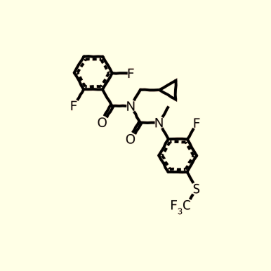 CN(C(=O)N(CC1CC1)C(=O)c1c(F)cccc1F)c1ccc(SC(F)(F)F)cc1F